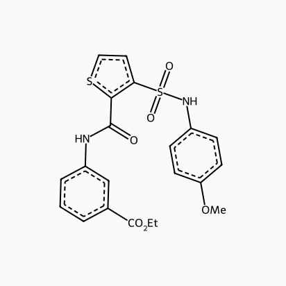 CCOC(=O)c1cccc(NC(=O)c2sccc2S(=O)(=O)Nc2ccc(OC)cc2)c1